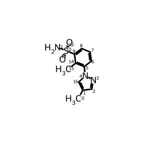 Cc1cnn(-c2cccc(S(N)(=O)=O)c2C)c1